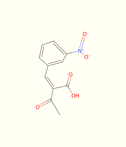 CC(=O)/C(=C/c1cccc([N+](=O)[O-])c1)C(=O)O